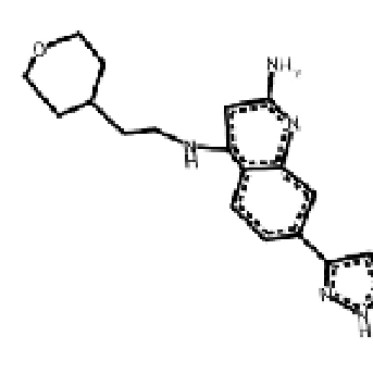 Nc1cc(NCCC2CCOCC2)c2ccc(-c3cc[nH]n3)cc2n1